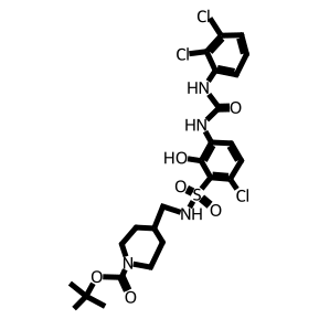 CC(C)(C)OC(=O)N1CCC(CNS(=O)(=O)c2c(Cl)ccc(NC(=O)Nc3cccc(Cl)c3Cl)c2O)CC1